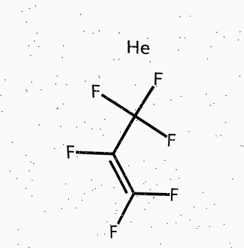 FC(F)=C(F)C(F)(F)F.[He]